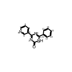 O=c1nc(-c2cccnc2)nc(-c2ccccc2)[nH]1